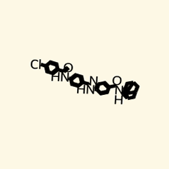 O=C(Nc1ccc(-c2nc3cc(C(=O)NC45CC6CC(CC(C6)C4)C5)ccc3[nH]2)cc1)c1ccc(Cl)cc1